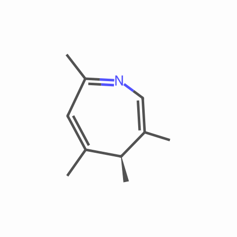 CC1=CN=C(C)C=C(C)[C@@H]1C